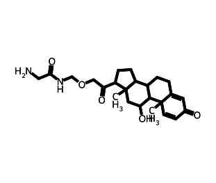 CC12C=CC(=O)C=C1CCC1C2C(O)CC2(C)C(C(=O)COCNC(=O)CN)CCC12